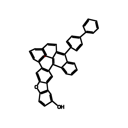 Oc1ccc2oc3cc(-c4ccccc4)c(-c4c5ccccc5c(-c5ccc(-c6ccccc6)cc5)c5ccccc45)cc3c2c1